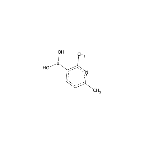 Cc1ccc(B(O)O)c(C)n1